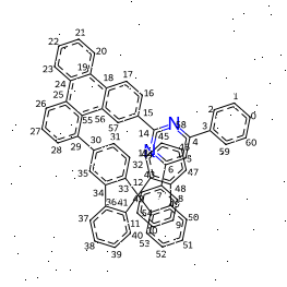 c1ccc(-c2cc(-c3ccccc3)nc(-c3ccc4c5ccccc5c5cccc(-c6ccc7c(c6)-c6ccccc6C76c7ccccc7-c7ccccc76)c5c4c3)n2)cc1